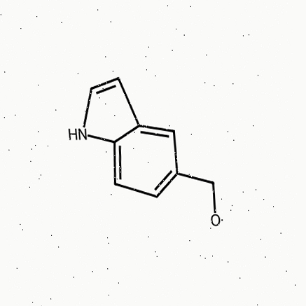 [O]Cc1ccc2[nH]ccc2c1